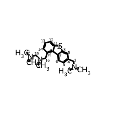 CN(C)Cc1ccc2c(c1)sc1cccc(CN(C)CN(C)C)c12